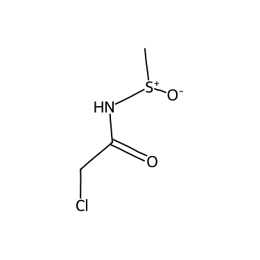 C[S+]([O-])NC(=O)CCl